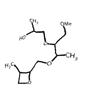 COCC(OCC(C)O)C(C)OCC1OCC1C